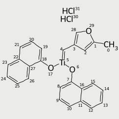 Cc1cc([CH]=[Ti]([O]c2cccc3ccccc23)[O]c2cccc3ccccc23)co1.Cl.Cl